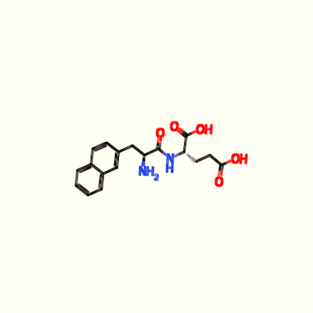 N[C@@H](Cc1ccc2ccccc2c1)C(=O)N[C@@H](CCC(=O)O)C(=O)O